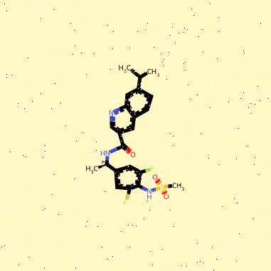 CC(C)c1ccc2cc(C(=O)N[C@H](C)c3cc(F)c(NS(C)(=O)=O)c(F)c3)cnc2c1